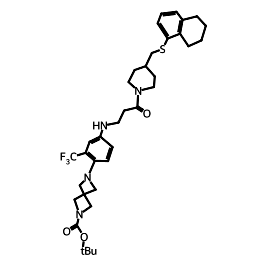 CC(C)(C)OC(=O)N1CC2(C1)CN(c1ccc(NCCC(=O)N3CCC(CSc4cccc5c4CCCC5)CC3)cc1C(F)(F)F)C2